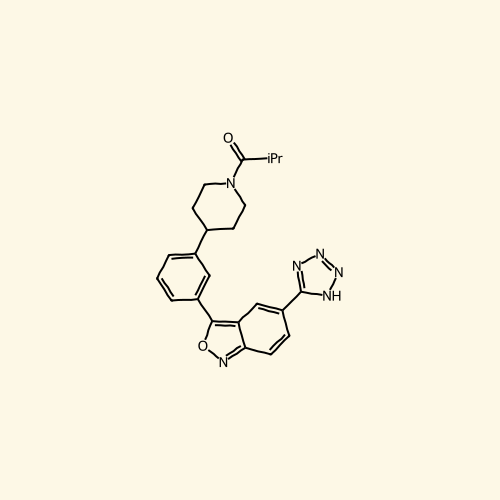 CC(C)C(=O)N1CCC(c2cccc(-c3onc4ccc(-c5nnn[nH]5)cc34)c2)CC1